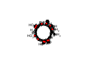 CCCC[C@H]1C(=O)N2CCC[C@@H]2C(=O)N[C@@H](CC(=O)O)C(=O)N[C@@H](C(C)C)C(=O)N(C)[C@@H](Cc2ccccc2)C(=O)N[C@@H](CCC(=O)O)C(=O)N2C[C@H](O)C[C@@H]2C(=O)N[C@@H](Cc2c[nH]c3ccccc23)C(=O)N[C@@H](Cc2ccc(O)cc2)C(=O)N[C@@H](CCC(N)=O)C(=O)N[C@H](C(=O)NCC(N)=O)CSCC(=O)N[C@@H](Cc2cc(F)c(F)c(F)c2)C(=O)N(C)[C@@H](Cc2ccc(O)cc2)C(=O)N1C